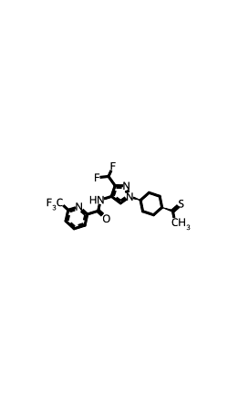 CC(=S)[C@H]1CC[C@@H](n2cc(NC(=O)c3cccc(C(F)(F)F)n3)c(C(F)F)n2)CC1